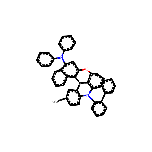 CC(C)(C)c1ccc2c(c1)B1c3c(cccc3N2c2ccccc2-c2ccccc2)Oc2cc(N(c3ccccc3)c3ccccc3)c3ccccc3c21